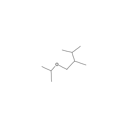 CC(C)OCC(C)C(C)C